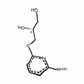 CC(=O)Nc1cccc(OC[C@H](O)CO)n1